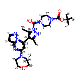 Cc1nn(C(=O)N2CCN(C(=O)OC(C)(C)C)CC2)c(C)c1-c1cc(N2CCOC[C@H]2C)nc2ccnn12